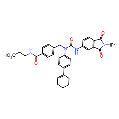 CC(C)N1C(=O)c2ccc(NC(=O)N(Cc3ccc(C(=O)NCCC(=O)O)cc3)c3ccc(C4=CCCCC4)cc3)cc2C1=O